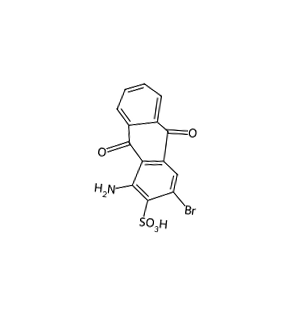 Nc1c2c(cc(Br)c1S(=O)(=O)O)C(=O)c1ccccc1C2=O